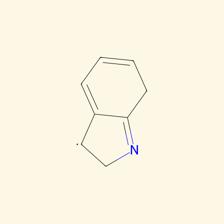 [CH]1CN=C2CC=CC=C12